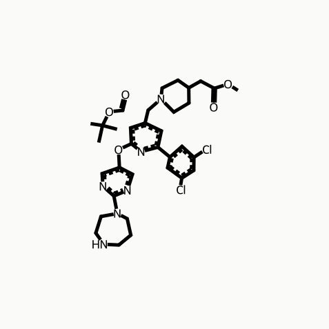 CC(C)(C)OC=O.COC(=O)CC1CCN(Cc2cc(Oc3cnc(N4CCCNCC4)nc3)nc(-c3cc(Cl)cc(Cl)c3)c2)CC1